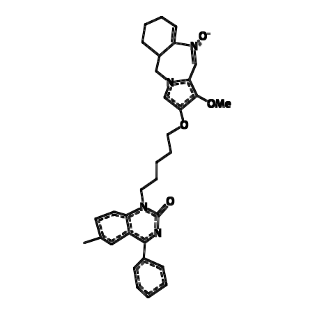 COc1c(OCCCCCn2c(=O)nc(-c3ccccc3)c3cc(C)ccc32)cn2c1C=[N+]([O-])C1=CCCCC1C2